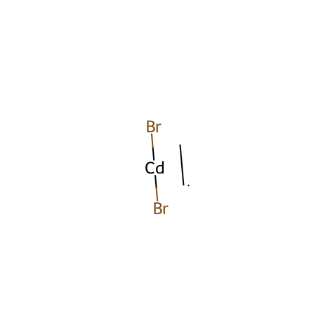 [Br][Cd][Br].[CH2]C